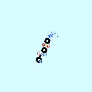 NN=Nc1ccc(S(=O)(=O)c2ccc(NC(=O)c3cccnc3)cc2)cc1